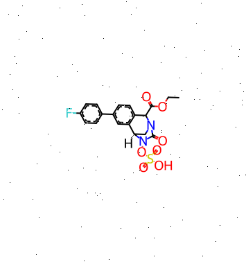 CCOC(=O)C1c2ccc(-c3ccc(F)cc3)cc2[C@H]2CN1C(=O)N2OS(=O)(=O)O